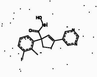 Cc1c(F)cccc1C1(C(=O)NO)C=C(c2cncnc2)CC1